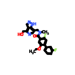 CCOc1cc(C(=O)N(C)Cc2cnc(CO)c3cn[nH]c23)c(F)cc1-c1cccc(F)c1